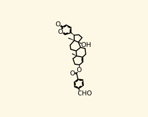 C[C@]12CC[C@H](OC(=O)c3ccc(C=O)cc3)C=C1CCC1C2CC[C@]2(C)[C@@H](c3ccc(=O)oc3)CC[C@]12O